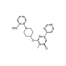 Cn1c(OC2CCN(c3ccccc3C=O)CC2)nc(-c2ccncn2)cc1=O